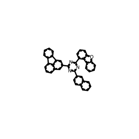 c1ccc2c(c1)-c1cccc3cc(-c4nc(-c5ccc6ccccc6c5)nc(-c5cccc6oc7ccccc7c56)n4)cc-2c13